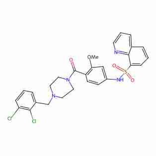 COc1cc(NS(=O)(=O)c2cccc3cccnc23)ccc1C(=O)N1CCN(Cc2cccc(Cl)c2Cl)CC1